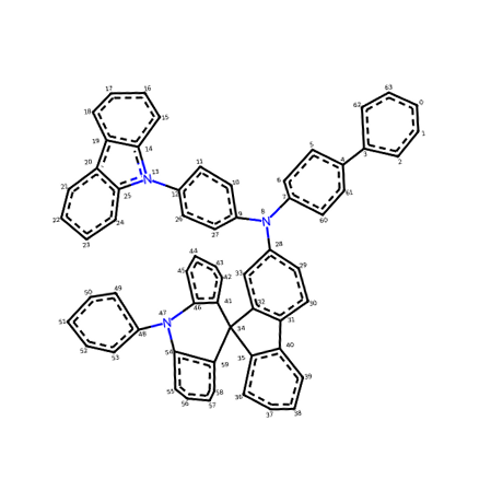 c1ccc(-c2ccc(N(c3ccc(-n4c5ccccc5c5ccccc54)cc3)c3ccc4c(c3)C3(c5ccccc5-4)c4ccccc4N(c4ccccc4)c4ccccc43)cc2)cc1